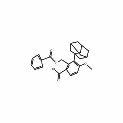 COc1ccc(C(=O)O)c(COC(=O)c2ccccc2)c1C12CC3CC(CC(C3)C1)C2